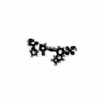 CC(C)(C)OC(=O)N1CCC[C@H]1c1ncc(C#Cc2ccc(OS(=O)(=O)C(F)(F)F)c3c2C2CCC2C3)[nH]1